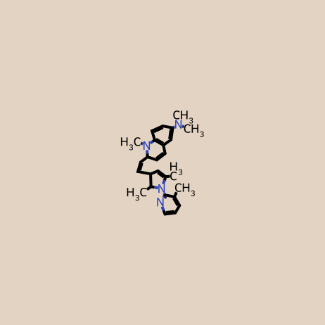 CC1=CC(/C=C\C2C=Cc3cc(N(C)C)ccc3N2C)C(C)N1c1ncccc1C